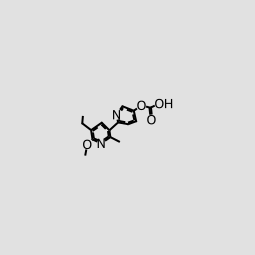 CCc1cc(-c2ccc(OC(=O)O)cn2)c(C)nc1OC